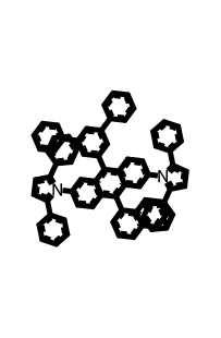 c1ccc(-c2cc(-c3ccccc3)cc(-c3c4cc(-n5c(-c6ccccc6)ccc5-c5ccccc5)ccc4c(-c4cccc5ccccc45)c4cc(-n5c(-c6ccccc6)ccc5-c5ccccc5)ccc34)c2)cc1